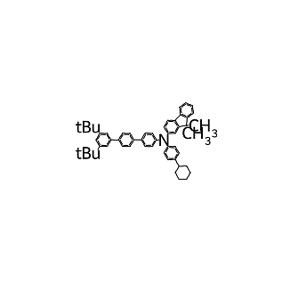 CC(C)(C)c1cc(-c2ccc(-c3ccc(N(c4ccc(C5CCCCC5)cc4)c4ccc5c(c4)C(C)(C)c4ccccc4-5)cc3)cc2)cc(C(C)(C)C)c1